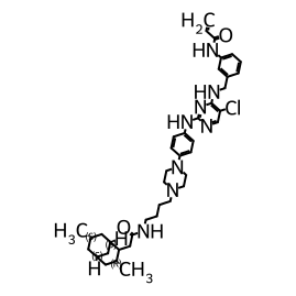 C=CC(=O)Nc1cccc(CNc2nc(Nc3ccc(N4CCN(CCCCNC(=O)CC5[C@H]6C[C@@H](C)C[C@H](C6)C[C@H]5C)CC4)cc3)ncc2Cl)c1